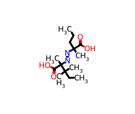 CCCC(C)(N=NC(C)(C(=O)O)C(C)(C)CC)C(=O)O